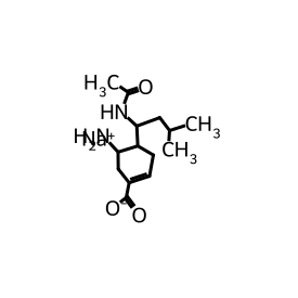 CC(=O)NC(CC(C)C)C1CC=C(C(=O)[O-])CC1N.[Na+]